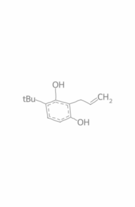 C=CCc1c(O)ccc(C(C)(C)C)c1O